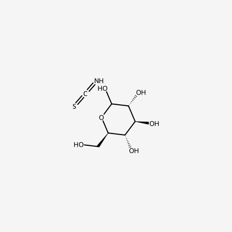 N=C=S.OC[C@H]1OC(O)[C@H](O)[C@@H](O)[C@@H]1O